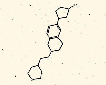 NC1CCC(c2ccc3c(c2)CCC(CCC2CCOCC2)C3)C1